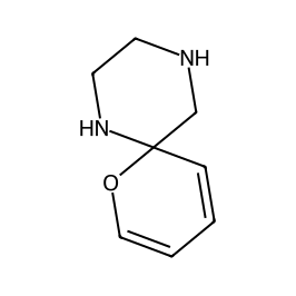 C1=COC2(C=C1)CNCCN2